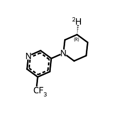 [2H][C@@H]1CCCN(c2cncc(C(F)(F)F)c2)C1